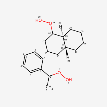 CC(OO)c1ccccc1.OOC1CCC[C@H]2CCCC[C@H]12